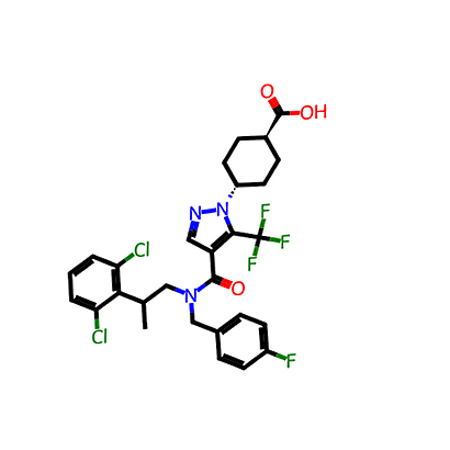 CC(CN(Cc1ccc(F)cc1)C(=O)c1cnn([C@H]2CC[C@H](C(=O)O)CC2)c1C(F)(F)F)c1c(Cl)cccc1Cl